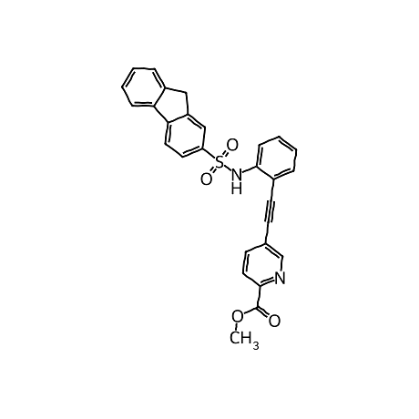 COC(=O)c1ccc(C#Cc2ccccc2NS(=O)(=O)c2ccc3c(c2)Cc2ccccc2-3)cn1